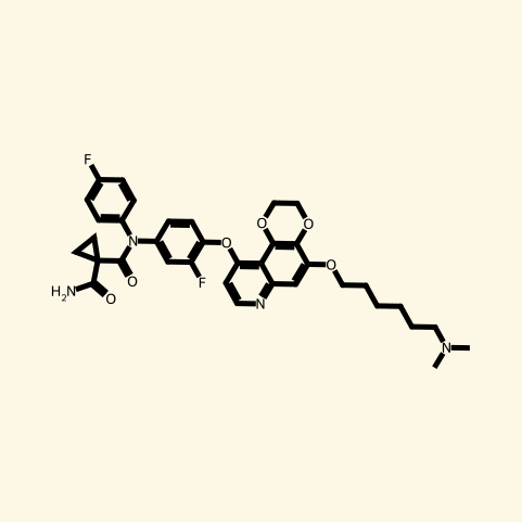 CN(C)CCCCCCOc1cc2nccc(Oc3ccc(N(C(=O)C4(C(N)=O)CC4)c4ccc(F)cc4)cc3F)c2c2c1OCCO2